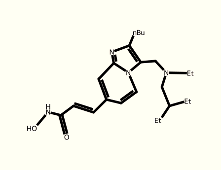 CCCCc1nc2cc(C=CC(=O)NO)ccn2c1CN(CC)CC(CC)CC